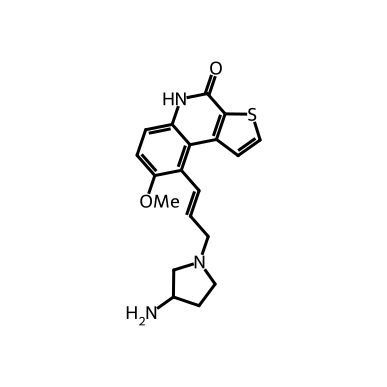 COc1ccc2[nH]c(=O)c3sccc3c2c1/C=C/CN1CCC(N)C1